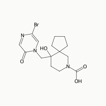 O=C(O)N1CCC(O)(Cn2cc(Br)ncc2=O)C2(CCCC2)C1